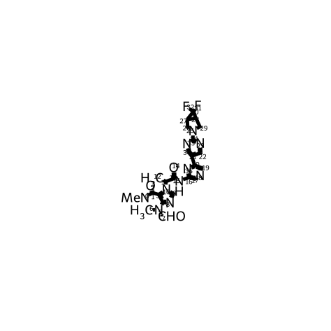 CNC(=O)c1c(N(C)C=O)ncn1C(C)C(=O)Nc1cncc(-c2cnc(N3CC4C(C3)C4(F)F)nc2)n1